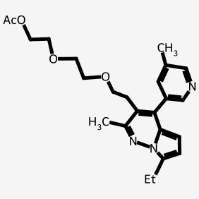 CCc1ccc2c(-c3cncc(C)c3)c(CCOCCOCCOC(C)=O)c(C)nn12